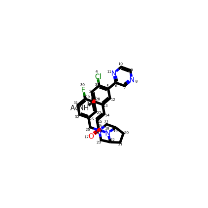 CC(=O)Nc1cc(Cl)c(-c2cnccn2)cc1/C=C/C(=O)N1C2CCC1CN(Cc1ccc(F)cc1)C2